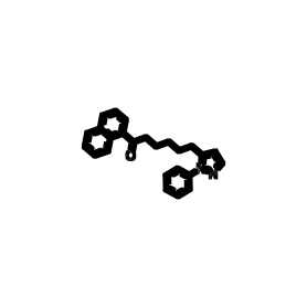 O=C(CCCCCc1ccnn1-c1ccccc1)c1cccc2ccccc12